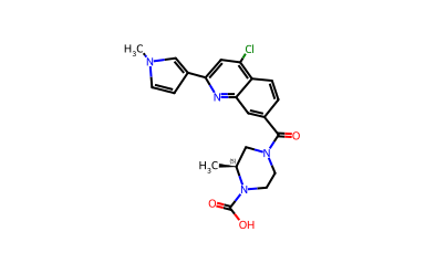 C[C@H]1CN(C(=O)c2ccc3c(Cl)cc(-c4ccn(C)c4)nc3c2)CCN1C(=O)O